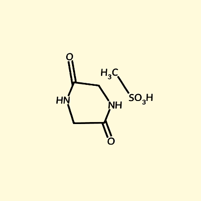 CS(=O)(=O)O.O=C1CNC(=O)CN1